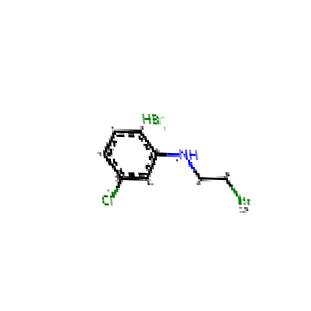 Br.Clc1cccc(NCCBr)c1